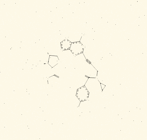 CNC(=O)[C@H]1O[C@@H](n2cnc3c(N)nc(C#CCN(C(=O)c4ccc(Cl)nc4)C4CC4)nc32)[C@H](O)[C@@H]1O